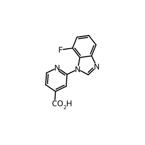 O=C(O)c1ccnc(-n2cnc3cccc(F)c32)c1